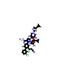 Cc1nc2c(F)c(-c3cccc(Cl)c3Cl)c(CCC#N)cc2c2c1cc([C@H]1[C@H]3C[C@H](CN(c4ncc(C5CC5)s4)C3)N1C(=O)C1CC1)n2[C@H]1[C@H]2CN[C@@H]1C2